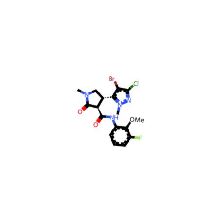 COc1c(F)cccc1NC(=O)[C@H]1C(=O)N(C)C[C@@H]1c1c(Br)c(Cl)nn1C